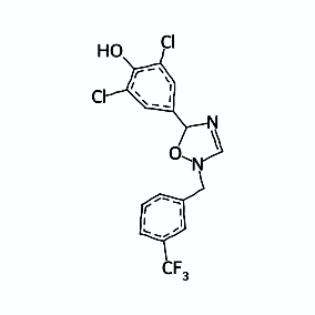 Oc1c(Cl)cc(C2N=CN(Cc3cccc(C(F)(F)F)c3)O2)cc1Cl